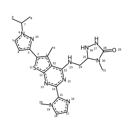 Cc1c(-c2ccn(C(C)C)n2)sc2nc(-c3nccn3C)nc(NCC3NNC(=O)N3C)c12